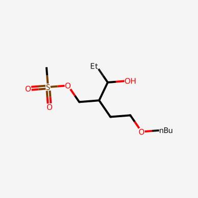 CCCCOCCC(COS(C)(=O)=O)C(O)CC